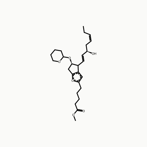 CC/C=C\C[C@@H](O)/C=C/C1c2cc(CCCCC(=O)OC)oc2C[C@H]1OC1CCCCO1